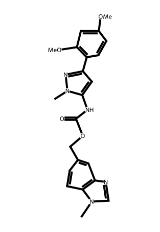 COc1ccc(-c2cc(NC(=O)OCc3ccc4c(c3)ncn4C)n(C)n2)c(OC)c1